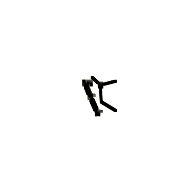 CCN(C)C.[N-]=[N+]=N